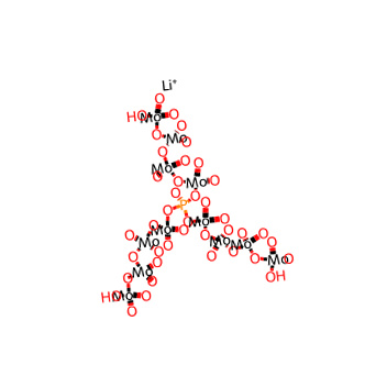 O=P([O][Mo](=[O])(=[O])[O][Mo](=[O])(=[O])[O][Mo](=[O])(=[O])[O][Mo](=[O])(=[O])[OH])([O][Mo](=[O])(=[O])[O][Mo](=[O])(=[O])[O][Mo](=[O])(=[O])[O][Mo](=[O])(=[O])[OH])[O][Mo](=[O])(=[O])[O][Mo](=[O])(=[O])[O][Mo](=[O])(=[O])[O][Mo](=[O])(=[O])[OH].[Li+]